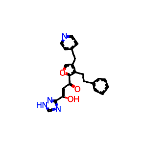 O=C(C=C(O)c1nc[nH]n1)c1occ(Cc2ccncc2)c1CCc1ccccc1